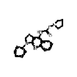 O=C(CN1CCCC1)Nc1c2c(nc3ccccc13)N(c1ccccc1)CC2